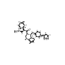 CCn1cc(C(=O)N2CCc3ccsc3C2Cc2ccc(-n3ccnn3)cc2)c2ccccc21